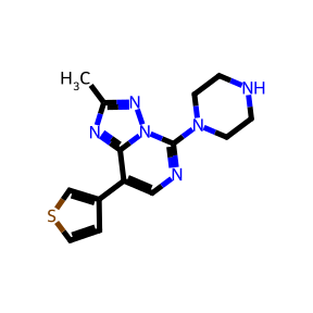 Cc1nc2c(-c3ccsc3)cnc(N3CCNCC3)n2n1